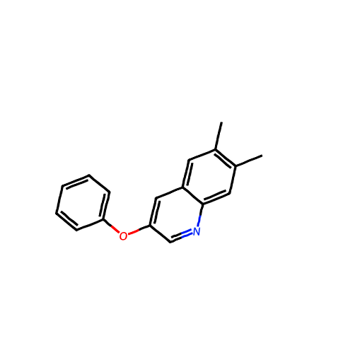 Cc1cc2cc(Oc3ccccc3)cnc2cc1C